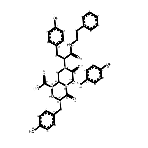 O=C(NCCc1ccccc1)C(Cc1ccc(O)cc1)N1CC2N(C(=O)O)O[C@H](Cc3ccc(O)cc3)C(=O)N2[C@@H](Cc2ccc(O)cc2)C1=O